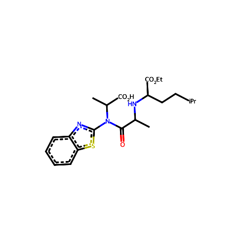 CCOC(=O)C(CCC(C)C)NC(C)C(=O)N(c1nc2ccccc2s1)C(C)C(=O)O